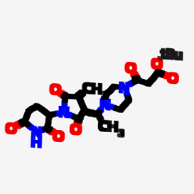 C=C1C(=O)N(C2CCC(=O)NC2=O)C(=O)C1=C(C)N1CCN(C(=O)CC(=O)OC(C)(C)C)CC1